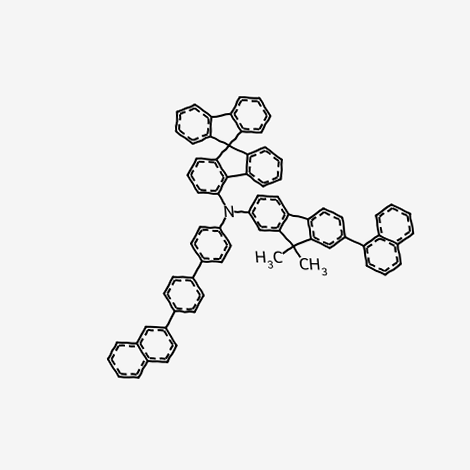 CC1(C)c2cc(-c3cccc4ccccc34)ccc2-c2ccc(N(c3ccc(-c4ccc(-c5ccc6ccccc6c5)cc4)cc3)c3cccc4c3-c3ccccc3C43c4ccccc4-c4ccccc43)cc21